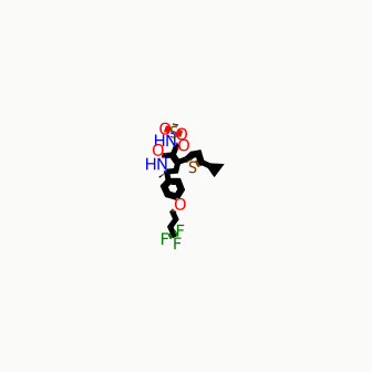 C[C@@]1(c2ccc(OCCCC(F)(F)F)cc2)CC(c2ccc(C3CC3)s2)=C(C(=O)NS(C)(=O)=O)C(=O)N1